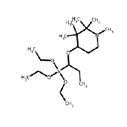 CCO[Si](OCC)(OCC)C(CC)OC1CCN(C)C(C)(C)C1(C)C